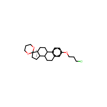 C[C@]12CCC3c4ccc(OCCCCl)cc4CCC3C1CCC21OCCCO1